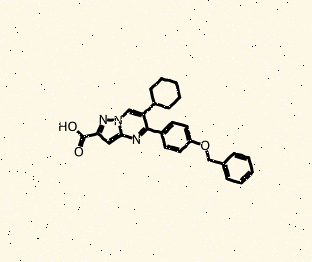 O=C(O)c1cc2nc(-c3ccc(OCc4ccccc4)cc3)c(C3CCCCC3)cn2n1